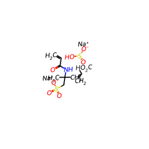 C=CC(=O)NC(C)(C)CS(=O)(=O)[O-].C=CC(=O)O.O=S([O-])O.[Na+].[Na+]